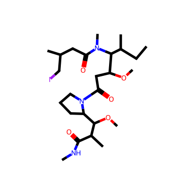 CCC(C)C(C(CC(=O)N1CCCC1C(OC)C(C)C(=O)NC)OC)N(C)C(=O)CC(C)CI